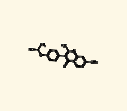 COc1ccn2c(=O)c(-c3ccc(O[C@H](C)C#N)cc3)c(C(F)(F)F)nc2c1